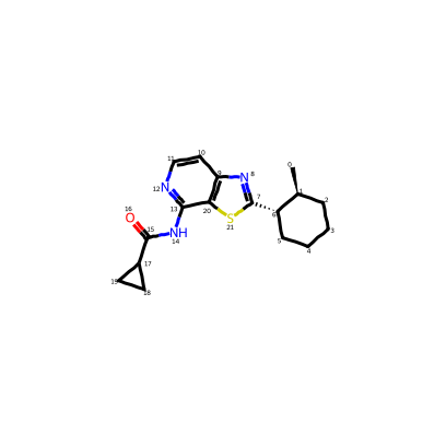 C[C@H]1CCCC[C@@H]1c1nc2ccnc(NC(=O)C3CC3)c2s1